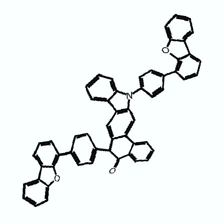 O=C1c2ccccc2-c2cc3c(cc2C1c1ccc(-c2cccc4c2oc2ccccc24)cc1)c1ccccc1n3-c1ccc(-c2cccc3c2oc2ccccc23)cc1